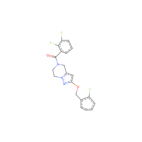 O=C(c1cccc(F)c1F)N1CCn2nc(OCc3ccccc3F)cc2C1